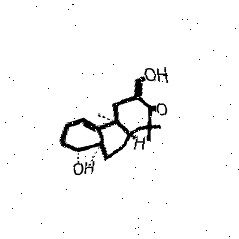 CC1(C)C(=O)/C(=C\O)C[C@]2(C)C3=CCC[C@@H](O)[C@]3(C)CC[C@@H]12